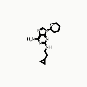 Nc1nc(NCCC2CC2)nc2c1ncn2C1CCCCO1